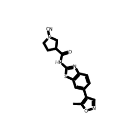 Cc1oncc1-c1ccc2nc(NC(=O)C3CCN(C#N)C3)sc2c1